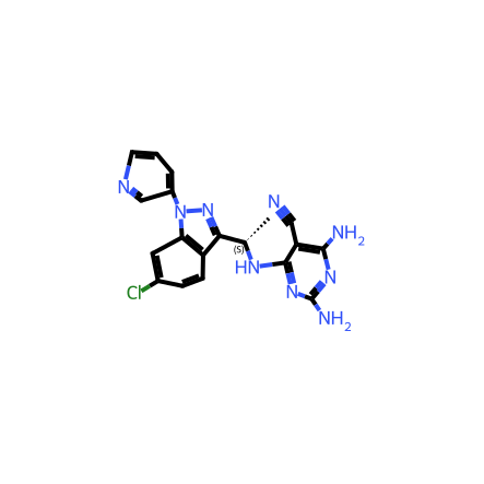 C[C@H](Nc1nc(N)nc(N)c1C#N)c1nn(-c2cccnc2)c2cc(Cl)ccc12